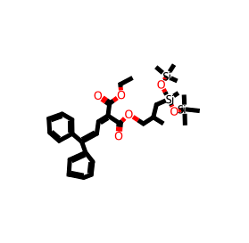 CCOC(=O)C(=CC=C(c1ccccc1)c1ccccc1)C(=O)OCC(C)C[Si](C)(O[Si](C)(C)C)O[Si](C)(C)C